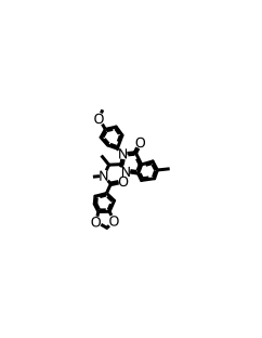 COc1ccc(-n2c(C(C)N(C)C(=O)c3ccc4c(c3)OCO4)nc3ccc(C)cc3c2=O)cc1